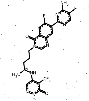 C[C@@H](CCCn1cnc2cc(-c3ncc(F)c(N)n3)c(F)cc2c1=O)Nc1cn[nH]c(=O)c1C(F)(F)F